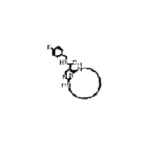 O=C(NCc1ccc(F)cc1)c1cnc2nc1NCCCCCCCCCCCCCCN2